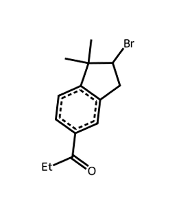 CCC(=O)c1ccc2c(c1)CC(Br)C2(C)C